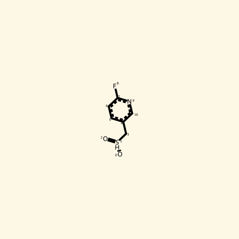 O=[SH](=O)Cc1ccc(F)nc1